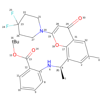 Cc1cc([C@@H](C)Nc2ccccc2C(=O)OC(C)(C)C)c2oc(N3CCC(F)(F)CC3)cc(=O)c2c1